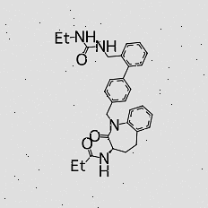 CCNC(=O)NCc1ccccc1-c1ccc(CN2C(=O)[C@H](NC(=O)CC)CCc3ccccc32)cc1